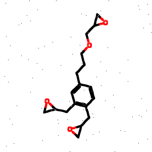 c1cc(CC2CO2)c(CC2CO2)cc1CCCOCC1CO1